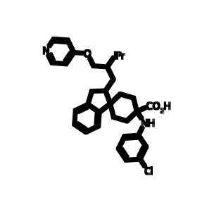 CC(C)C(COc1ccncc1)CC1Cc2ccccc2C12CCC(Nc1cccc(Cl)c1)(C(=O)O)CC2